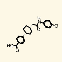 O=C(C[C@H]1CC[C@@H](c2ccc(C(=O)O)cc2)CC1)Nc1ccc(Cl)cc1